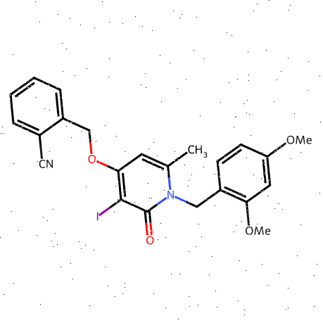 COc1ccc(Cn2c(C)cc(OCc3ccccc3C#N)c(I)c2=O)c(OC)c1